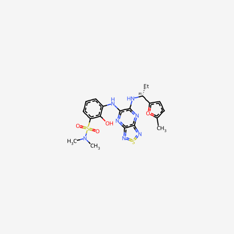 CC[C@@H](Nc1nc2nsnc2nc1Nc1cccc(S(=O)(=O)N(C)C)c1O)c1ccc(C)o1